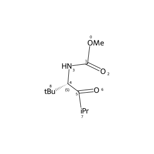 COC(=O)N[C@H](C(=O)C(C)C)C(C)(C)C